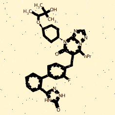 CCCc1c(Cc2ccc(-c3ccccc3-c3n[nH]c(=O)[nH]3)cc2F)c(=O)n([C@H]2CC[C@H](OC(C)C(C)(C)O)CC2)c2ncnn12